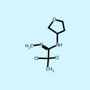 CN=C(NC1CCOC1)C(C)(Cl)Cl